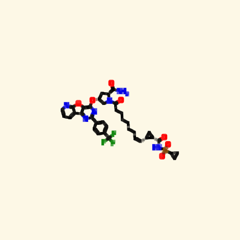 NC(=O)[C@@H]1C[C@@H](Oc2nc(-c3ccc(C(F)(F)F)cc3)nc3c2oc2ncccc23)CN1C(=O)CCCCCC/C=C\[C@@H]1C[C@@H]1C(=O)NS(=O)(=O)C1CC1